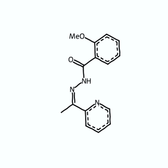 COc1ccccc1C(=O)NN=C(C)c1ccccn1